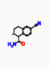 N#Cc1ccc2c(c1)CC[C]C2C(N)=O